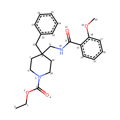 CCOC(=O)N1CCC(CNC(=O)c2ccccc2OC)(Cc2ccccc2)CC1